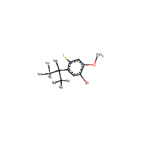 [2H]C([2H])([2H])C([2H])(c1cc(Br)c(OC)cc1F)C([2H])([2H])[2H]